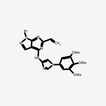 C=Cc1nc(Nc2cn(-c3cc(OC)c(OC)c(OC)c3)cn2)c2cnn(C(C)C)c2n1